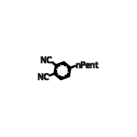 CCCCCc1ccc(C#N)c(C#N)c1